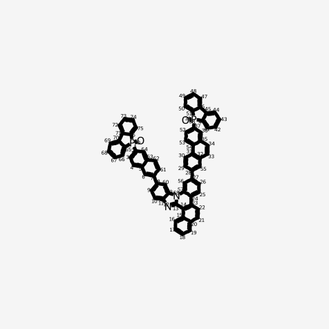 O=P1(c2ccc3cc(-c4ccc5nc6c7c8ccccc8ccc7c7ccc(-c8ccc9c(ccc%10cc(P%11(=O)c%12ccccc%12-c%12ccccc%12%11)ccc%109)c8)cc7n6c5c4)ccc3c2)c2ccccc2-c2ccccc21